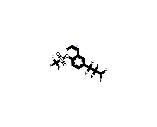 C/C=C\c1cc(C(F)(F)C(F)(F)C(F)F)ccc1OS(=O)(=O)C(F)(F)F